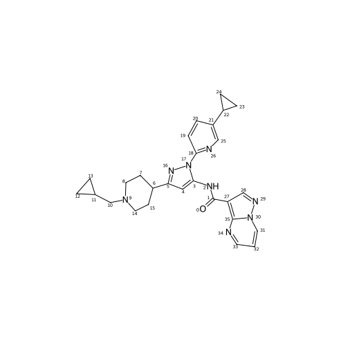 O=C(Nc1cc(C2CCN(CC3CC3)CC2)nn1-c1ccc(C2CC2)cn1)c1cnn2cccnc12